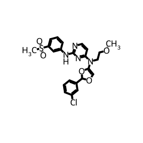 COCCN(C1=COC(c2cccc(Cl)c2)O1)c1ccnc(Nc2cccc(S(C)(=O)=O)c2)n1